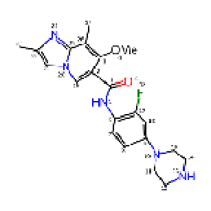 COc1c(C(=O)Nc2ccc(N3CCNCC3)cc2F)cn2cc(C)nc2c1C